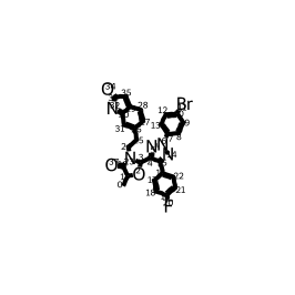 CC1OC(c2nn(-c3ccc(Br)cc3)nc2-c2ccc(F)cc2)N(CCc2ccc3c(c2)=NC(=O)C=3)C1=O